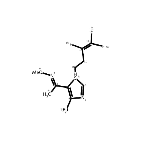 CO/N=C(\C)C1=C(C(C)(C)C)N=C[SH]1CCC(F)=C(F)F